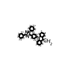 C=C1c2ccccc2N(c2ccc(-c3nc(-c4ccccc4)nn3-c3ccccc3)cc2)c2ccccc21